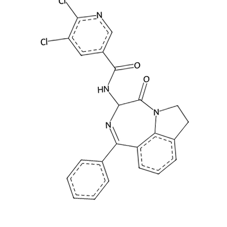 O=C(NC1N=C(c2ccccc2)c2cccc3c2N(CC3)C1=O)c1cnc(Cl)c(Cl)c1